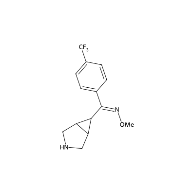 CON=C(c1ccc(C(F)(F)F)cc1)C1C2CNCC21